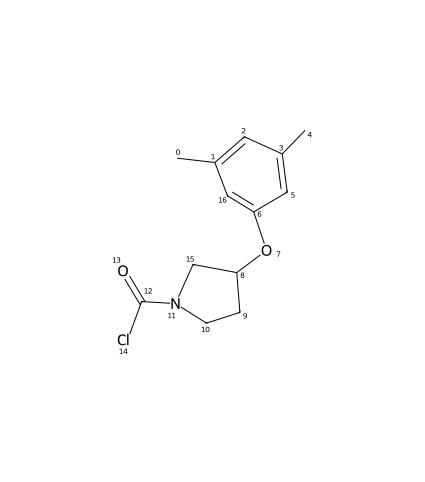 Cc1cc(C)cc(OC2CCN(C(=O)Cl)C2)c1